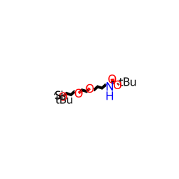 CC(C)(C)OC(=O)NCCCCOCCOCCCO[Si](C)(C)C(C)(C)C